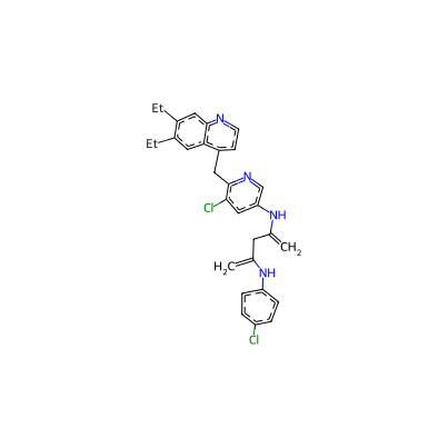 C=C(CC(=C)Nc1cnc(Cc2ccnc3cc(CC)c(CC)cc23)c(Cl)c1)Nc1ccc(Cl)cc1